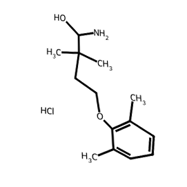 Cc1cccc(C)c1OCCC(C)(C)C(N)O.Cl